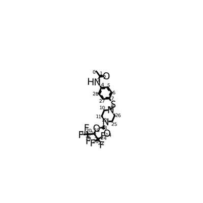 CC(=O)Nc1ccc(SN2CCN(C(=O)OC(C(F)(F)F)C(F)(F)F)CC2)cc1